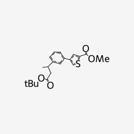 COC(=O)c1cc(-c2cccc(C(C)CC(=O)OC(C)(C)C)c2)cs1